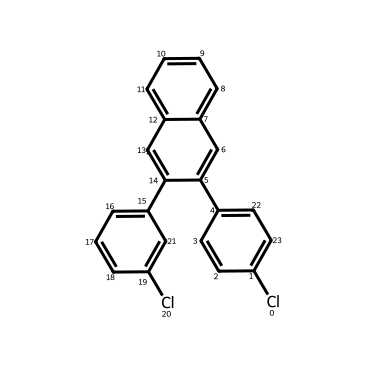 Clc1ccc(-c2cc3ccccc3[c]c2-c2cccc(Cl)c2)cc1